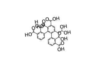 O=C(O)c1cccc(-c2c(CC(O)O)cc(C(=O)O)c(C(=O)O)c2-c2cccc(C(=O)O)c2C(=O)O)c1C(=O)O